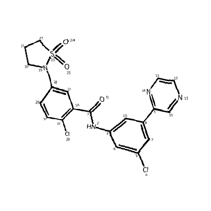 O=C(Nc1cc(Cl)cc(-c2cnccn2)c1)c1cc(N2CCCS2(=O)=O)ccc1Cl